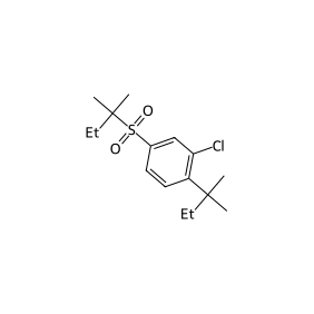 CCC(C)(C)c1ccc(S(=O)(=O)C(C)(C)CC)cc1Cl